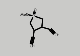 C#CC1CP(=O)(SC)CC1C#C